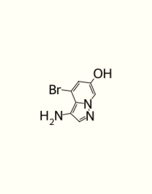 Nc1cnn2cc(O)cc(Br)c12